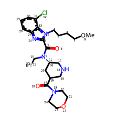 COCCCCn1c(C(=O)N(CC(C)C)[C@@H]2CNCC(C(=O)N3CCOCC3)C2)nc2cccc(Cl)c21